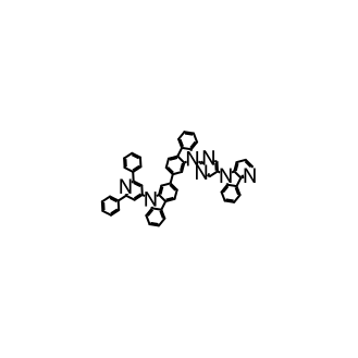 c1ccc(-c2cc(-n3c4ccccc4c4ccc(-c5ccc6c7ccccc7n(-c7ncc(-n8c9ccccc9c9ncccc98)cn7)c6c5)cc43)cc(-c3ccccc3)n2)cc1